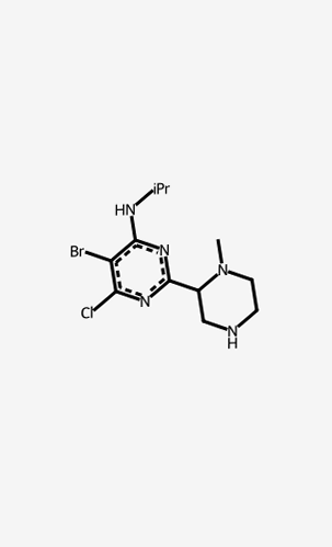 CC(C)Nc1nc(C2CNCCN2C)nc(Cl)c1Br